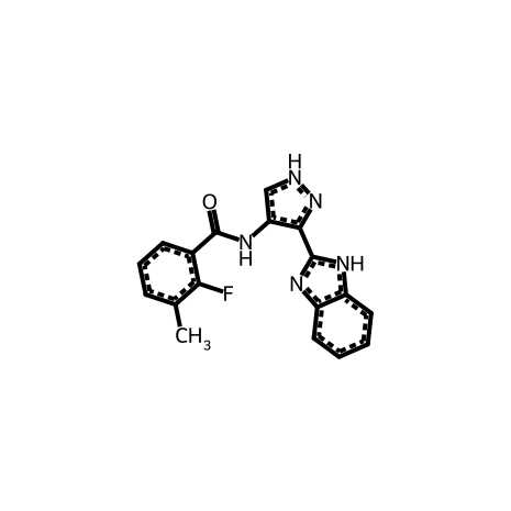 Cc1cccc(C(=O)Nc2c[nH]nc2-c2nc3ccccc3[nH]2)c1F